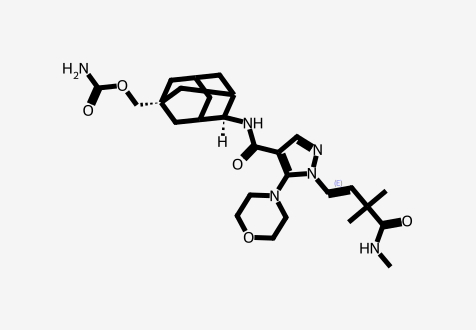 CNC(=O)C(C)(C)/C=C/n1ncc(C(=O)N[C@H]2C3CC4CC2C[C@](COC(N)=O)(C4)C3)c1N1CCOCC1